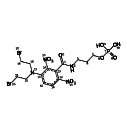 O=C(NCCCOP(=O)(O)O)c1c([N+](=O)[O-])ccc(N(CCBr)CCBr)c1[N+](=O)[O-]